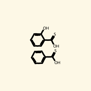 OC(=S)c1ccccc1.OC(=S)c1ccccc1O